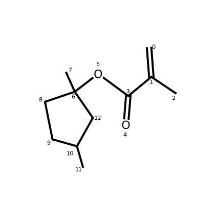 C=C(C)C(=O)OC1(C)CCC(C)C1